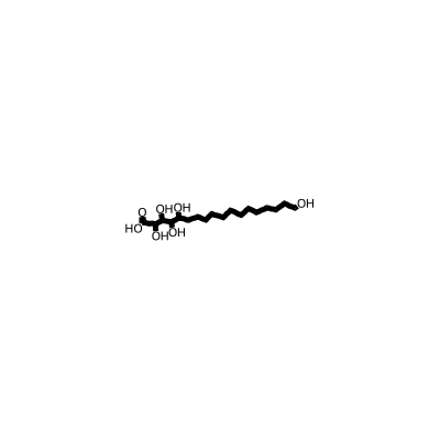 O=C(O)C(O)C(O)C(O)C(O)CCCCCCCCCCCCCO